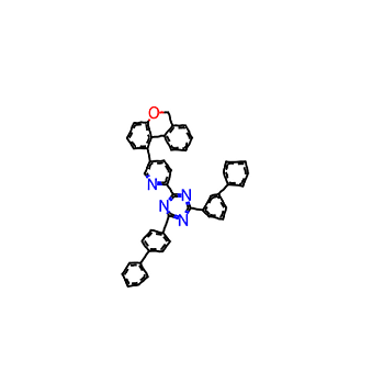 c1ccc(-c2ccc(-c3nc(-c4cccc(-c5ccccc5)c4)nc(-c4ccc(-c5cccc6c5-c5ccccc5CO6)cn4)n3)cc2)cc1